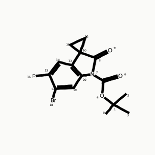 CC(C)(C)OC(=O)N1C(=O)C2(CC2)c2cc(F)c(Br)cc21